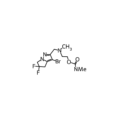 CNC(=O)OCCN(C)Cc1nn2c(c1Br)CC(F)(F)C2